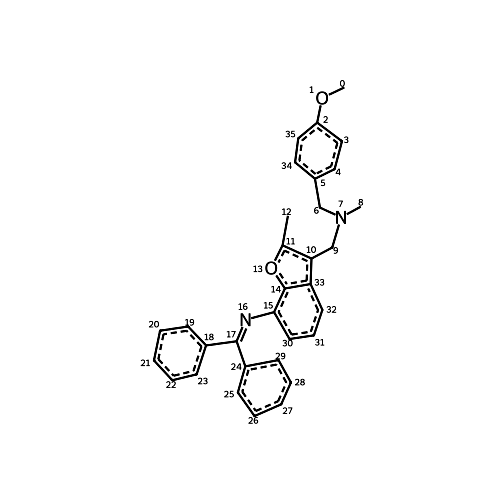 COc1ccc(CN(C)Cc2c(C)oc3c(N=C(c4ccccc4)c4ccccc4)cccc23)cc1